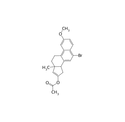 COc1ccc2c(Br)cc3c(c2c1)CCC1(C)C=C(OC(C)=O)CC31